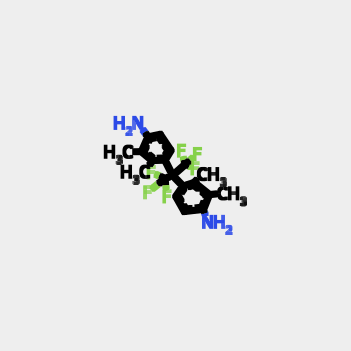 Cc1c(N)ccc(C(c2ccc(N)c(C)c2C)(C(F)(F)F)C(F)(F)F)c1C